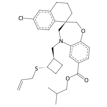 C=CCS[C@H]1CC[C@@H]1CN1C[C@@]2(CCCc3cc(Cl)ccc32)COc2ccc(C(=O)OCC(C)C)cc21